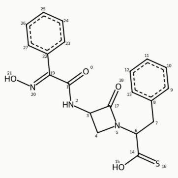 O=C(NC1CN(C(Cc2ccccc2)C(O)=S)C1=O)C(=NO)c1ccccc1